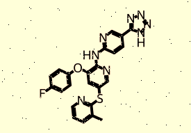 Cc1cccnc1Sc1cnc(Nc2ccc(-c3nnn[nH]3)cn2)c(Oc2ccc(F)cc2)c1